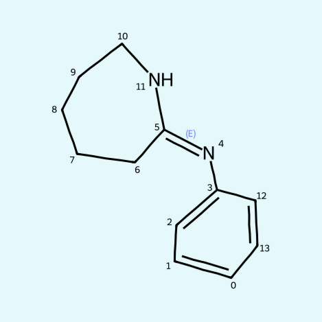 c1ccc(/N=C2\CCCCCN2)cc1